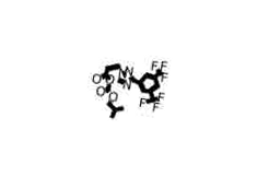 CC(C)COC(=O)OC(=O)/C=C\n1cnc(-c2cc(C(F)(F)F)cc(C(F)(F)F)c2)n1